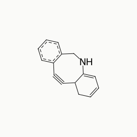 C1#CC2CC=CC=C2NCc2ccccc21